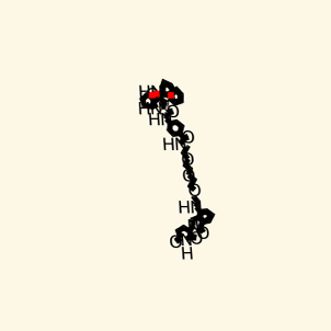 O=C1CCC(N2Cc3c(NCCOCCOCCOCCNC(=O)C4CCC(NC(=O)[C@@H]5NC6(CCCCC6)[C@@]6(C(=O)Nc7ccccc76)[C@H]5c5ccccc5)CC4)cccc3C2=O)C(=O)N1